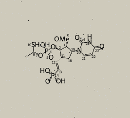 CO[C@@H]1[C@H](OP(=O)(O)OC(C)S)[C@@H](/C=C/P(=O)(O)O)C[C@@H]1n1ccc(=O)[nH]c1=O